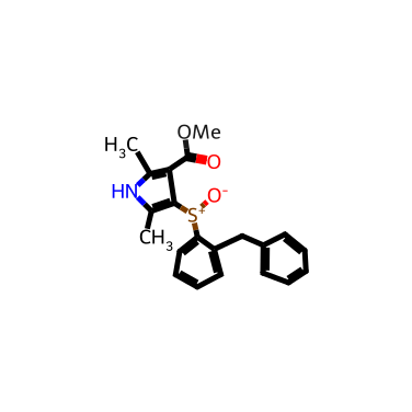 COC(=O)c1c(C)[nH]c(C)c1[S+]([O-])c1ccccc1Cc1ccccc1